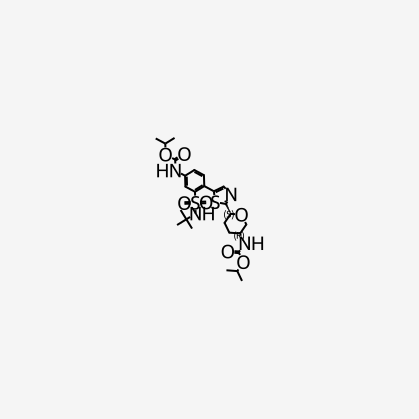 CC(C)OC(=O)Nc1ccc(-c2cnc([C@@H]3CC[C@@H](NC(=O)OC(C)C)CO3)s2)c(S(=O)(=O)NC(C)(C)C)c1